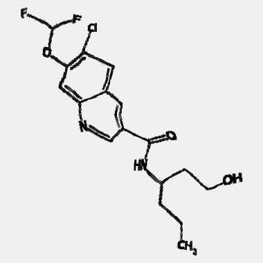 CCCC(CCO)NC(=O)c1cnc2cc(OC(F)F)c(Cl)cc2c1